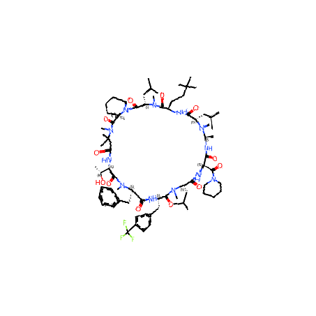 CC(C)C[C@H]1C(=O)N2CCCC[C@H]2C(=O)N(C)C(C)(C)C(=O)N[C@@H]([C@@H](C)O)C(=O)N(C)[C@@H](Cc2ccccc2)C(=O)N[C@@H](Cc2ccc(C(F)(F)F)cc2)C(=O)N(C)[C@@H](CC(C)C)C(=O)N[C@H](C(=O)N2CCCCC2)C(=O)N[C@H](C)N(C)[C@@H](CC(C)C)C(=O)NC(CCC(C)(C)C)C(=O)N1C